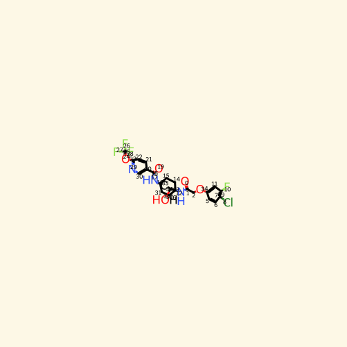 O=C(COc1ccc(Cl)c(F)c1)NC12CCC(NC(=O)c3ccc(OC(F)(F)F)nc3)(CC1)C[C@@H]2O